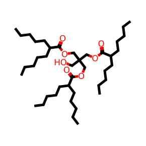 CCCCCC(CCCCC)C(=O)OCC(CO)(COC(=O)C(CCCCC)CCCCC)COC(=O)C(CCCCC)CCCCC